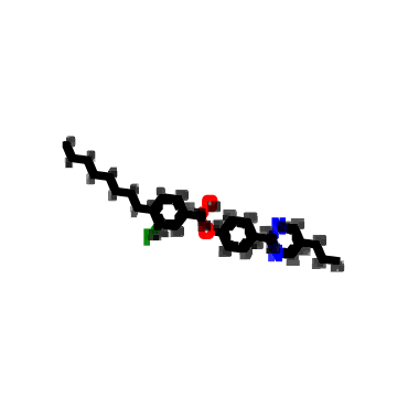 CCCCCCCCc1ccc(C(=O)Oc2ccc(-c3ncc(CCC)cn3)cc2)cc1F